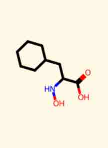 O=C(O)C(CC1CCCCC1)NO